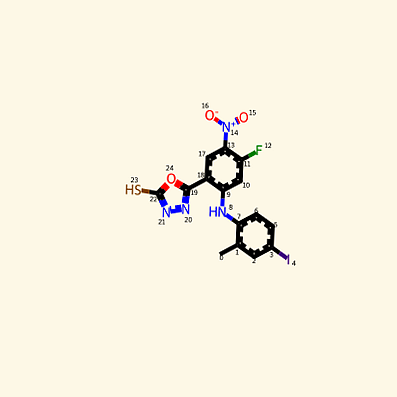 Cc1cc(I)ccc1Nc1cc(F)c([N+](=O)[O-])cc1-c1nnc(S)o1